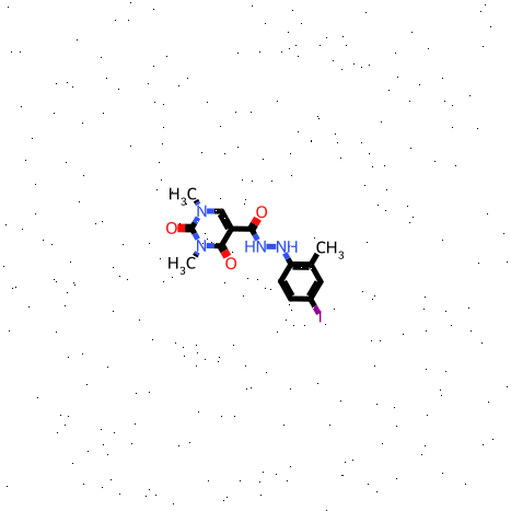 Cc1cc(I)ccc1NNC(=O)c1cn(C)c(=O)n(C)c1=O